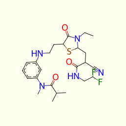 CCN1C(=O)C(CCNc2cccc(N(C)C(=O)C(C)C)c2)SC1CC(C#N)C(=O)NCC(F)F